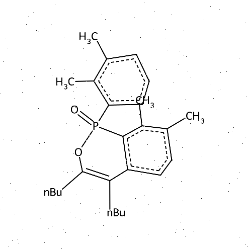 CCCCC1=C(CCCC)c2ccc(C)c(C)c2P(=O)(c2cccc(C)c2C)O1